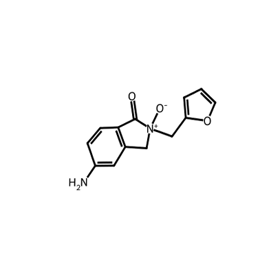 Nc1ccc2c(c1)C[N+]([O-])(Cc1ccco1)C2=O